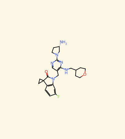 N[C@H]1CCN(c2ncc(CN3C(=O)C4(CC4)c4ccc(F)cc43)c(NCC3CCOCC3)n2)C1